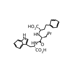 CC(C)C[C@H](N[C@H](CCc1ccccc1)C(=O)O)C(=O)N[C@@H](Cc1c[nH]c2ccccc12)C(=O)O